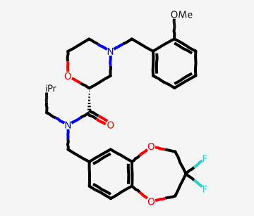 COc1ccccc1CN1CCO[C@@H](C(=O)N(Cc2ccc3c(c2)OCC(F)(F)CO3)CC(C)C)C1